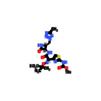 Cc1nnn(C[C@H]2NC(=O)[C@H]2NC(=O)/C(=N\OC(C)(C)C(=O)O)c2csc(NC(=O)OC(C)(C)C)n2)n1